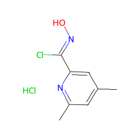 Cc1cc(C)nc(C(Cl)=NO)c1.Cl